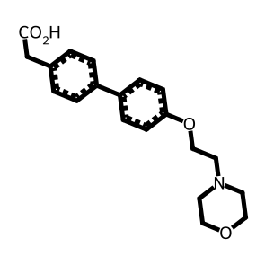 O=C(O)Cc1ccc(-c2ccc(OCCN3CCOCC3)cc2)cc1